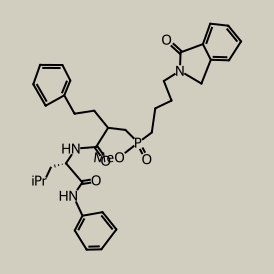 COP(=O)(CCCCN1Cc2ccccc2C1=O)CC(CCc1ccccc1)C(=O)N[C@@H](CC(C)C)C(=O)Nc1ccccc1